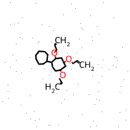 C=CCOC1CCC(C2CCCCCCC2)C(OCC=C)CC(OCC=C)C1